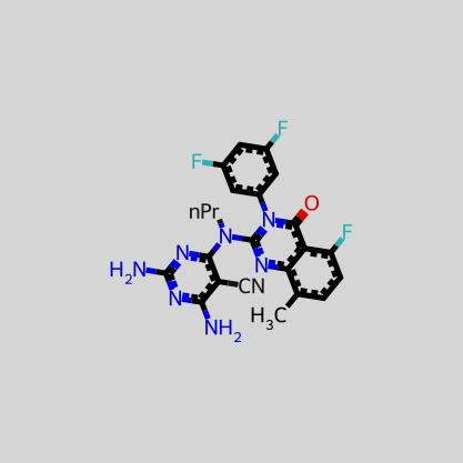 CCCN(c1nc(N)nc(N)c1C#N)c1nc2c(C)ccc(F)c2c(=O)n1-c1cc(F)cc(F)c1